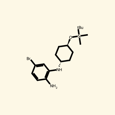 CC(C)(C)[Si](C)(C)O[C@H]1CC[C@H](Nc2cc(Br)ccc2N)CC1